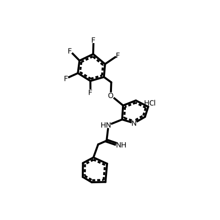 Cl.N=C(Cc1ccccc1)Nc1ncccc1OCc1c(F)c(F)c(F)c(F)c1F